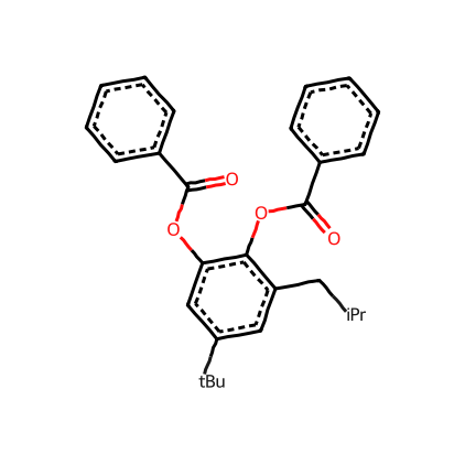 CC(C)Cc1cc(C(C)(C)C)cc(OC(=O)c2ccccc2)c1OC(=O)c1ccccc1